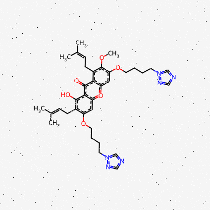 COc1c(OCCCCn2cncn2)cc2oc3cc(OCCCCn4cncn4)c(CC=C(C)C)c(O)c3c(=O)c2c1CC=C(C)C